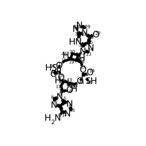 Nc1ncnc2c1ncn2[C@H]1C[C@@H]2OP(=O)(S)OC[C@H]3C[C@@H](n4cnc5c(=O)n6cnnc6[nH]c54)[C@@H]3COP(=O)(S)OC[C@H]2O1